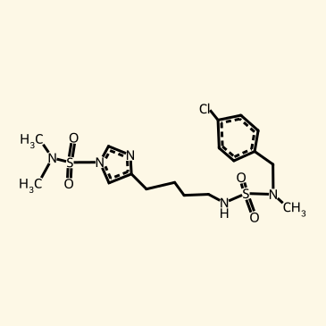 CN(Cc1ccc(Cl)cc1)S(=O)(=O)NCCCCc1cn(S(=O)(=O)N(C)C)cn1